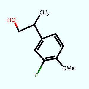 [CH2]C(CO)c1ccc(OC)c(F)c1